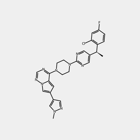 C[C@@H](c1cnc(N2CCN(c3ncnn4cc(-c5cnn(C)c5)cc34)CC2)nc1)c1ccc(F)cc1Cl